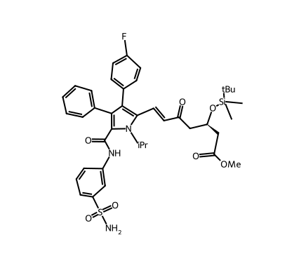 COC(=O)C[C@@H](CC(=O)/C=C/c1c(-c2ccc(F)cc2)c(-c2ccccc2)c(C(=O)Nc2cccc(S(N)(=O)=O)c2)n1C(C)C)O[Si](C)(C)C(C)(C)C